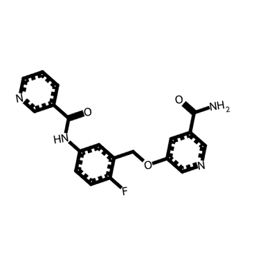 NC(=O)c1cncc(OCc2cc(NC(=O)c3cccnc3)ccc2F)c1